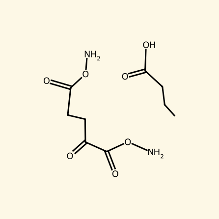 CCCC(=O)O.NOC(=O)CCC(=O)C(=O)ON